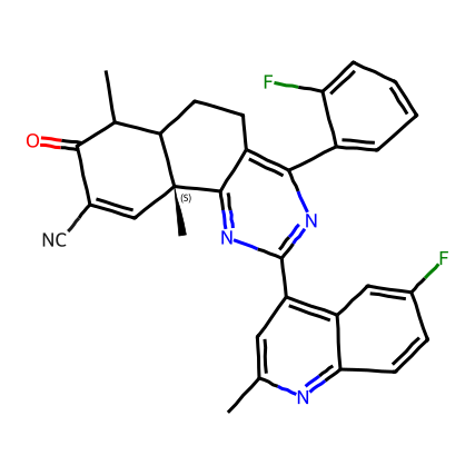 Cc1cc(-c2nc(-c3ccccc3F)c3c(n2)[C@]2(C)C=C(C#N)C(=O)C(C)C2CC3)c2cc(F)ccc2n1